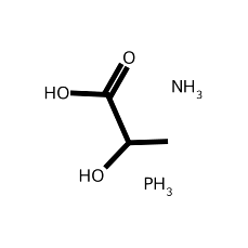 CC(O)C(=O)O.N.P